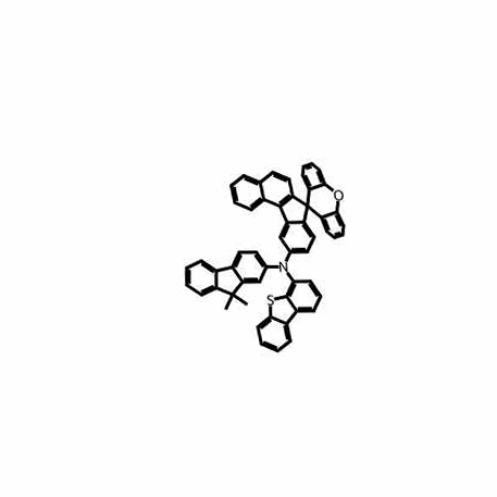 CC1(C)c2ccccc2-c2ccc(N(c3ccc4c(c3)-c3c(ccc5ccccc35)C43c4ccccc4Oc4ccccc43)c3cccc4c3sc3ccccc34)cc21